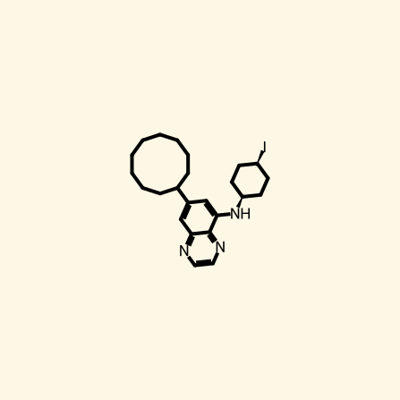 I[C@H]1CC[C@@H](Nc2cc(C3CCCCCCCCC3)cc3nccnc23)CC1